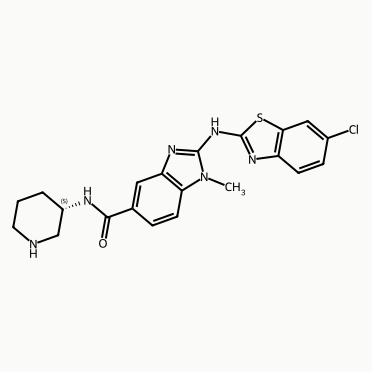 Cn1c(Nc2nc3ccc(Cl)cc3s2)nc2cc(C(=O)N[C@H]3CCCNC3)ccc21